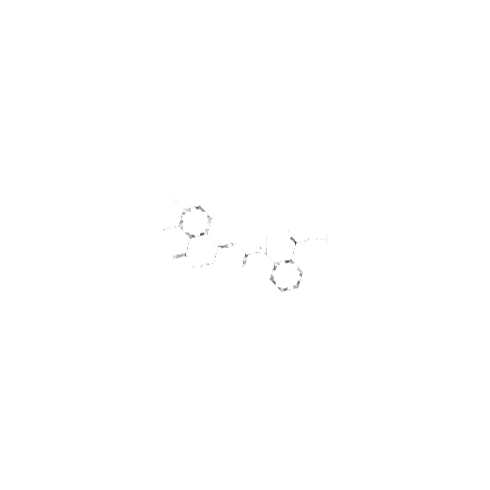 Cc1ccc2c(c1C)C(=O)OC/C2=C\C(=O)Nc1ccccc1C(=O)O